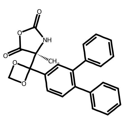 C[C@@]1(C2(c3ccc(-c4ccccc4)c(-c4ccccc4)c3)OCO2)NC(=O)OC1=O